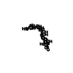 CC[C@@H](OC1CCN(C2CNC2)CC(C)O1)/C(O)=C/[C@@H](O)O[C@H](CC)/C(O)=C/[C@@H](O)O[C@H]1CC[C@@]2(C)C(CCC3C2C[C@H](O)[C@]2(C)[C@@H](C4=CC(=O)OC4)CC[C@]32O)C1